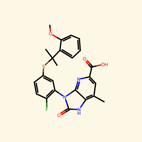 COc1ccccc1C(C)(C)Sc1ccc(F)c(-n2c(=O)[nH]c3c(C)cc(C(=O)O)nc32)c1